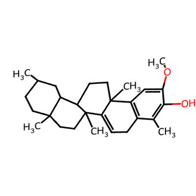 COc1cc2c(c(C)c1O)CC=C1C2(C)CCC2C3CC(C)CCC3(C)CCC12C